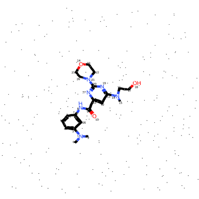 CN(C)c1cccc(NC(=O)c2cc(N(C)CCO)nc(N3CCOCC3)n2)c1